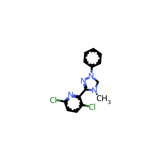 CN1CN(c2ccccc2)N=C1c1nc(Cl)ccc1Cl